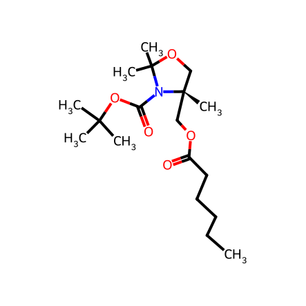 CCCCCC(=O)OC[C@@]1(C)COC(C)(C)N1C(=O)OC(C)(C)C